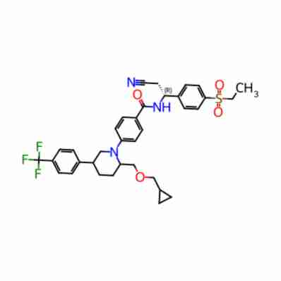 CCS(=O)(=O)c1ccc([C@@H](CC#N)NC(=O)c2ccc(N3CC(c4ccc(C(F)(F)F)cc4)CCC3COCC3CC3)cc2)cc1